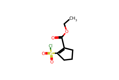 CCOC(=O)C1=C(S(=O)(=O)Cl)CCC1